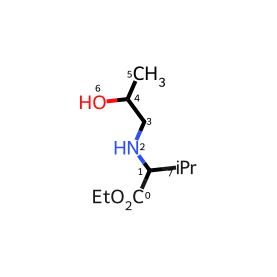 CCOC(=O)C(NCC(C)O)C(C)C